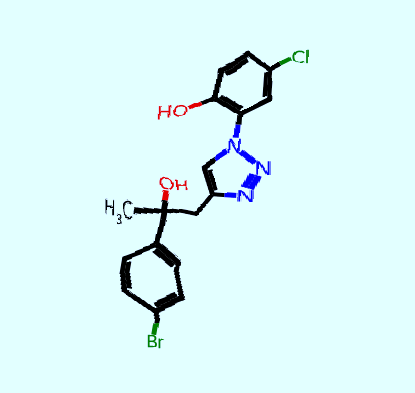 CC(O)(Cc1cn(-c2cc(Cl)ccc2O)nn1)c1ccc(Br)cc1